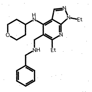 CCc1nc2c(cnn2CC)c(NC2CCOCC2)c1CNCc1ccccc1